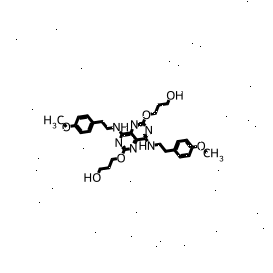 COc1ccc(CCNc2nc(OCCCO)nc3c(NCCc4ccc(OC)cc4)nc(OCCCO)nc23)cc1